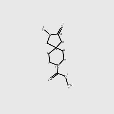 CCN1CC2(CCN(C(=O)OC(C)(C)C)CC2)CC1=O